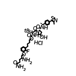 Cc1ncsc1-c1ccc([C@H](C)NC(=O)[C@@H]2C[C@@H](O)CN2C(=O)[C@@H](NC(=O)OCCCCc2cccc(OC[C@@H](N)CCC(N)=O)c2F)C(C)(C)C)cc1.Cl